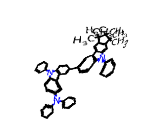 CC1(C)c2cc3c4cc(-c5ccc6c(c5)c5cc(N(c7ccccc7)c7ccccc7)ccc5n6-c5ccccc5)ccc4n(-c4ccccc4)c3cc2C(C)(C)C1(C)C